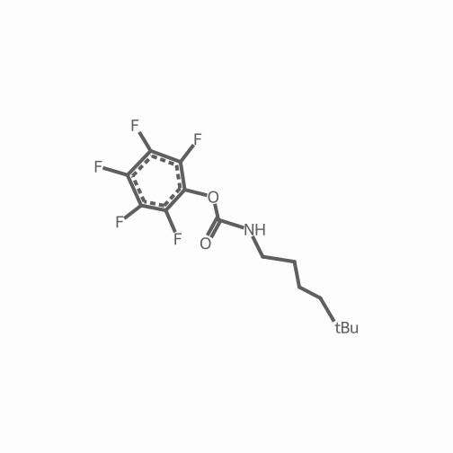 CC(C)(C)CCCCNC(=O)Oc1c(F)c(F)c(F)c(F)c1F